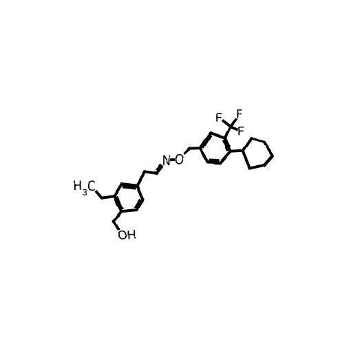 CCc1cc(CC=NOCc2ccc(C3CCCCC3)c(C(F)(F)F)c2)ccc1CO